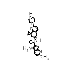 Cc1ccc2c(N)c(C(=O)N[C@H]3Cc4ccc(N5CCNCC5)nc4C4(CC4)C3)sc2n1